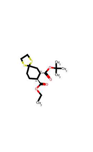 CCOC(=O)[C@H]1CCC2(C[C@@H]1C(=O)OC(C)(C)C)SCCS2